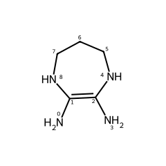 NC1=C(N)NCCCN1